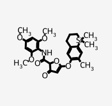 COc1cc(OC)c(NC(=O)C2OC(Oc3cc4c(cc3C)[Si](C)(C)CCC4)=CC2=O)c(OC)c1